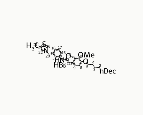 Br.CCCCCCCCCCCCCCOc1ccc(CC(=O)Nc2cccc(CN3C=C(C)SC3)c2)cc1OC